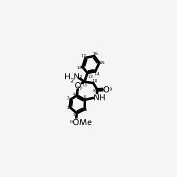 COc1ccc2c(c1)NC(=O)CC(N)(c1ccccc1)O2